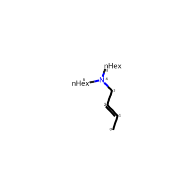 CC=CCN(CCCCCC)CCCCCC